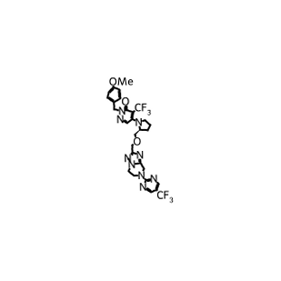 COc1ccc(Cn2ncc(N3CCC[C@H]3COCc3nc4n(n3)CCN(c3ncc(C(F)(F)F)cn3)C4)c(C(F)(F)F)c2=O)cc1